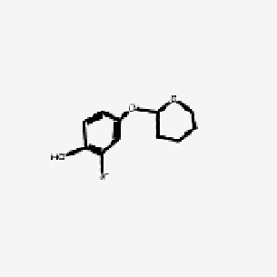 Oc1ccc(OC2CCCCO2)cc1Br